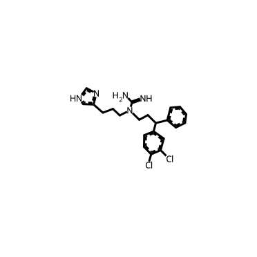 N=C(N)N(CCCc1c[nH]cn1)CCC(c1ccccc1)c1ccc(Cl)c(Cl)c1